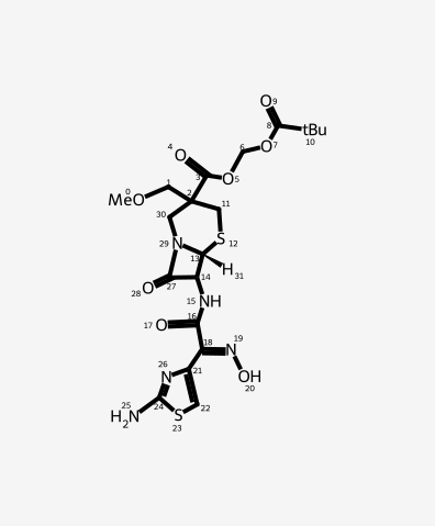 COCC1(C(=O)OCOC(=O)C(C)(C)C)CS[C@@H]2C(NC(=O)C(=NO)c3csc(N)n3)C(=O)N2C1